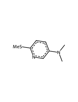 CSc1ccc(N(C)C)cn1